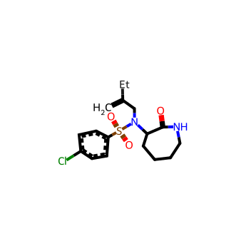 C=C(CC)CN(C1CCCCNC1=O)S(=O)(=O)c1ccc(Cl)cc1